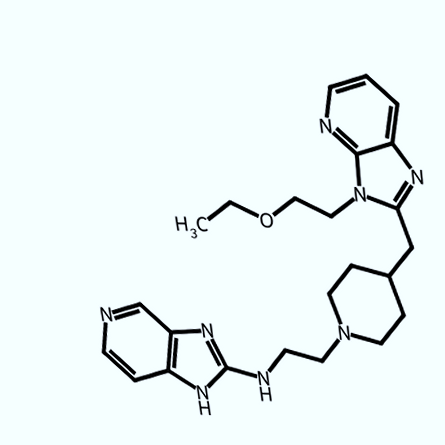 CCOCCn1c(CC2CCN(CCNc3nc4cnccc4[nH]3)CC2)nc2cccnc21